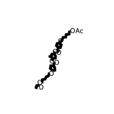 C=CC(=O)OCCCCCCOc1ccc(C(=O)Oc2ccc(OC(=O)c3ccc(OCCCCCCOC(C)=O)cc3)cc2C)cc1